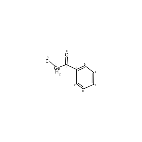 O=[C]([GeH2][Cl])c1ccccc1